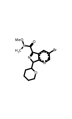 CON(C)C(=O)C1=NC(C2CCCCO2)c2ncc(Br)cc21